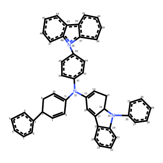 C1=CC(c2ccccc2)CC=C1N(C1=CCC2C(=C1)c1ccccc1N2c1ccccc1)c1ccc(-n2c3ccccc3c3ccccc32)cc1